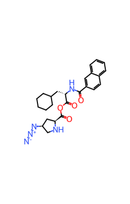 [N-]=[N+]=N[C@@H]1CN[C@H](C(=O)OC(=O)[C@H](CC2CCCCC2)NC(=O)c2ccc3ccccc3c2)C1